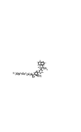 COCCOCCOCCOC(=O)c1ccc(C2CCCC(N[C@H](C)c3cccc4ccccc34)C2)cc1.Cl